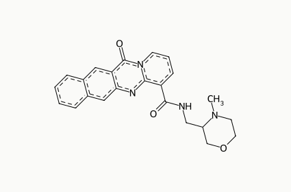 CN1CCOCC1CNC(=O)c1cccn2c(=O)c3cc4ccccc4cc3nc12